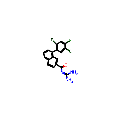 NC(N)=NC(=O)c1ccc2cccc(-c3cc(Cl)c(F)cc3F)c2c1